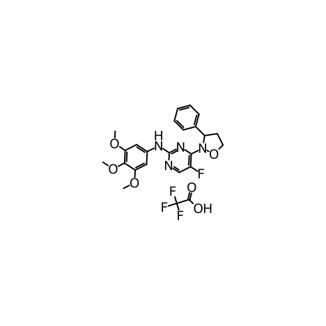 COc1cc(Nc2ncc(F)c(N3OCCC3c3ccccc3)n2)cc(OC)c1OC.O=C(O)C(F)(F)F